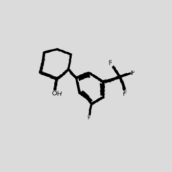 OC1CCCCC1c1cc(F)cc(C(F)(F)F)c1